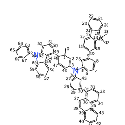 CC1C=C(N(c2cccc(-c3ccc4c(c3)C(C)(C)c3ccccc3-4)c2)c2cccc(-c3cccc4c3ccc3ccccc34)c2)C=CC1c1cccc2c1c1ccccc1n2-c1ccccc1